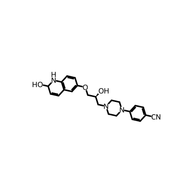 N#Cc1ccc(N2CCN(C[C@H](O)COc3ccc4c(c3)C=CC(O)N4)CC2)cc1